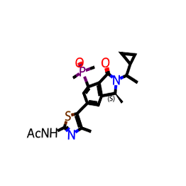 CC(=O)Nc1nc(C)c(-c2cc3c(c(P(C)(C)=O)c2)C(=O)N(C(C)C2CC2)[C@H]3C)s1